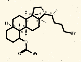 CCCC(=O)OC1CCC[C@H]2CC[C@H]3[C@@H]4CC[C@H]([C@H](C)CCCC(C)C)[C@@]4(C)CC[C@@H]3[C@@]12C